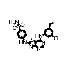 NS(=O)(=O)c1ccc(Nc2nc3ncnc(Nc4cc(Cl)cc(CI)c4)c3s2)cc1